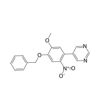 COc1cc(-c2cncnc2)c([N+](=O)[O-])cc1OCc1ccccc1